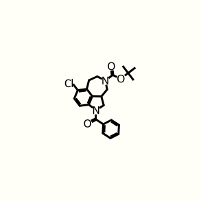 CC(C)(C)OC(=O)N1CCc2c(Cl)ccc3c2C(C1)CN3C(=O)c1ccccc1